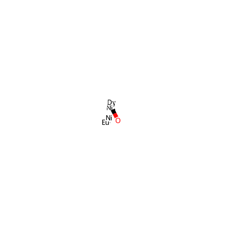 [Dy].[Eu].[Ni].[O]=[Ni]